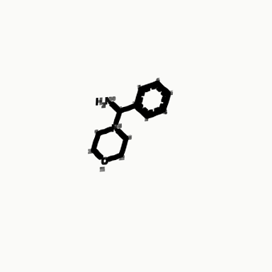 NC(c1ccccc1)N1CCOCC1